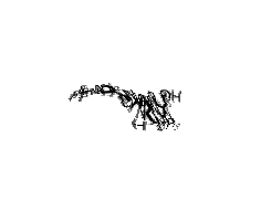 CN/C=C(/NC(=O)c1coc(-c2ccnc(NCC(F)(F)F)c2)n1)C(=N)N1CCC(CCO)C1=O